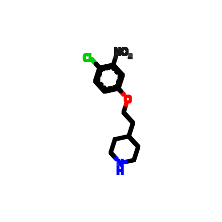 O=[N+]([O-])c1cc(OCCC2CCNCC2)ccc1Cl